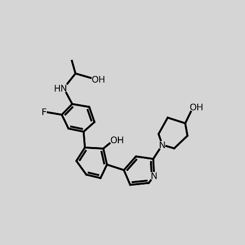 CC(O)Nc1ccc(-c2cccc(-c3ccnc(N4CCC(O)CC4)c3)c2O)cc1F